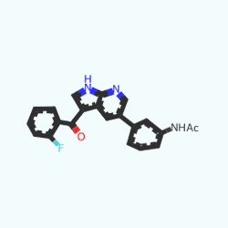 CC(=O)Nc1cccc(-c2cnc3[nH]cc(C(=O)c4ccccc4F)c3c2)c1